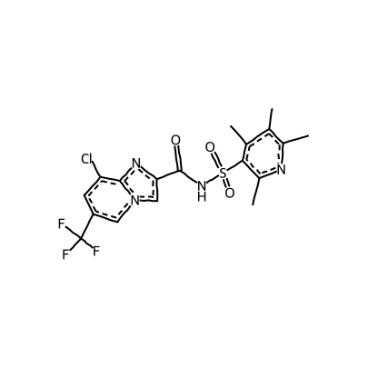 Cc1nc(C)c(S(=O)(=O)NC(=O)c2cn3cc(C(F)(F)F)cc(Cl)c3n2)c(C)c1C